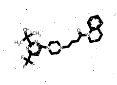 CC(C)(C)c1nc(N2CCN(CCCC(=O)N3CCCc4ccccc43)CC2)cc(C(F)(F)F)n1